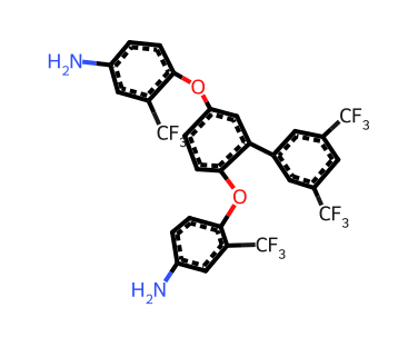 Nc1ccc(Oc2ccc(Oc3ccc(N)cc3C(F)(F)F)c(-c3cc(C(F)(F)F)cc(C(F)(F)F)c3)c2)c(C(F)(F)F)c1